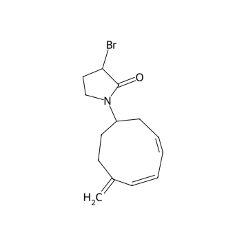 C=C1/C=C\C=C/CC(N2CCC(Br)C2=O)CC1